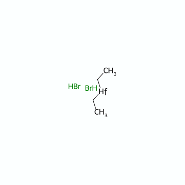 Br.Br.C[CH2][Hf][CH2]C